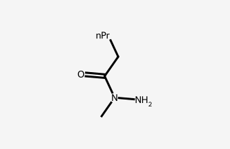 CCCCC(=O)N(C)N